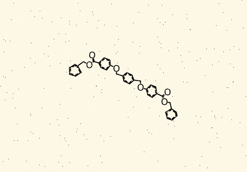 O=C(OCc1ccccc1)c1ccc(OCc2ccc(COc3ccc(C(=O)OCc4ccccc4)cc3)cc2)cc1